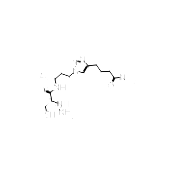 CC(=O)[C@H](CCn1cc(CCCC(N)=O)nn1)NC(=O)[C@H](CS)NN